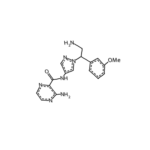 COc1cccc(C(CN)n2cc(NC(=O)c3nccnc3N)cn2)c1